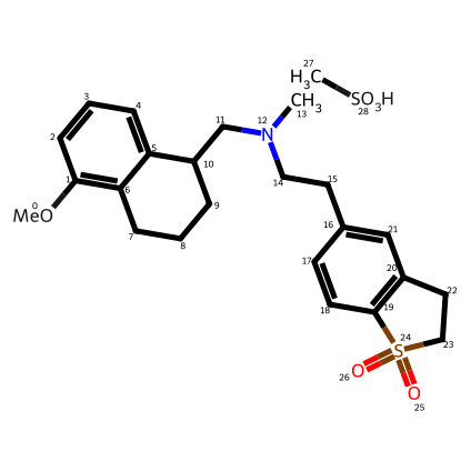 COc1cccc2c1CCCC2CN(C)CCc1ccc2c(c1)CCS2(=O)=O.CS(=O)(=O)O